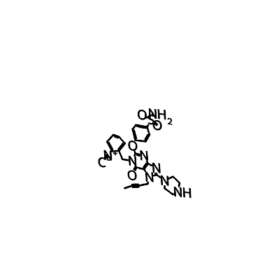 [C-]#[N+]c1ccccc1Cn1c(Oc2ccc(S(N)(=O)=O)cc2)nc2nc(N3CCNCC3)n(CC#CC)c2c1=O